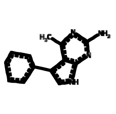 Cc1nc(N)nc2[nH]cc(-c3ccccc3)c12